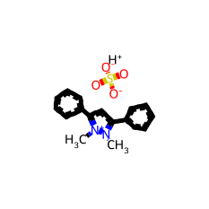 Cn1c(-c2ccccc2)cc(-c2ccccc2)[n+]1C.O=S(=O)([O-])[O-].[H+]